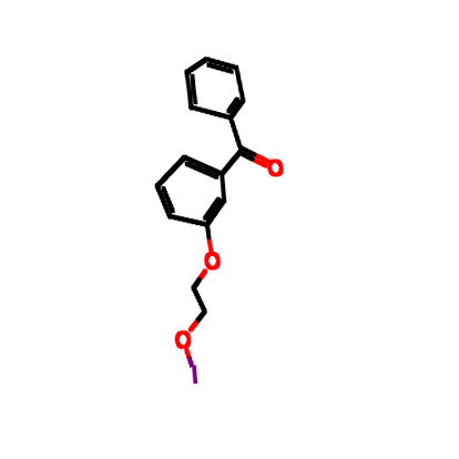 O=C(c1ccccc1)c1cccc(OCCOI)c1